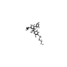 CCCCCc1ccc(C(=O)Oc2cc(C#N)ccc2-c2ccccc2)cc1